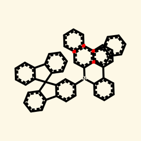 c1ccc(-c2cccc(-c3ccccc3N(c3ccc4c(c3)C3(c5ccccc5-c5ccccc53)c3ccccc3-4)c3cccc4c3oc3ccccc34)c2)cc1